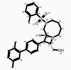 Cc1ccc(C)c(-c2ccc(C3[C@@H](CO)N4CCCCN(S(=O)(=O)c5ccccc5C)C[C@@H]34)cc2)c1